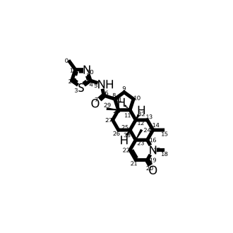 Cc1csc(NC(=O)C2CC[C@H]3[C@@H]4CC(C)C5N(C)C(=O)C=C[C@]5(C)[C@@H]4CC[C@]23C)n1